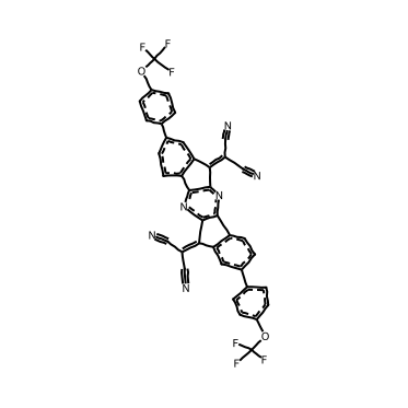 N#CC(C#N)=C1c2cc(-c3ccc(OC(F)(F)F)cc3)ccc2-c2nc3c(nc21)-c1ccc(-c2ccc(OC(F)(F)F)cc2)cc1C3=C(C#N)C#N